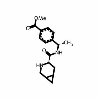 COC(=O)c1ccc([C@H](C)NC(=O)[C@H]2CC3CC3CN2)cc1